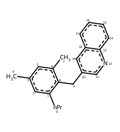 CCCc1cc(C)cc(C)c1Cc1cnc2ccccc2c1